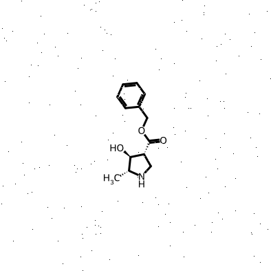 C[C@H]1NC[C@@H](C(=O)OCc2ccccc2)[C@@H]1O